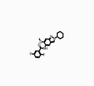 COc1cc2nn(C3CCCCC3)cc2cc1NC(=O)c1cc(F)ccc1F